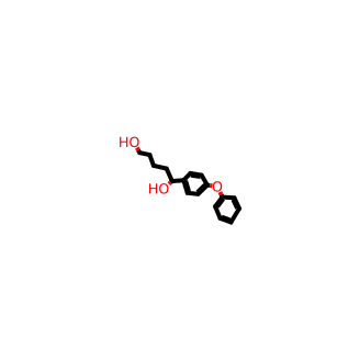 OCCCCC(O)c1ccc(Oc2ccccc2)cc1